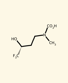 CN(CC[C@@H](O)C(F)(F)F)C(=O)O